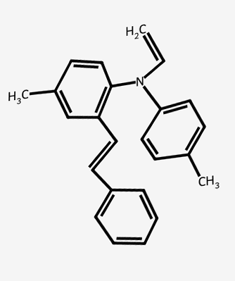 C=CN(c1ccc(C)cc1)c1ccc(C)cc1C=Cc1ccccc1